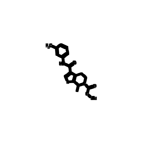 CC1c2scc(C(=O)Nc3cccc(C(F)(F)F)c3)c2CCN1C(=O)OC(C)(C)C